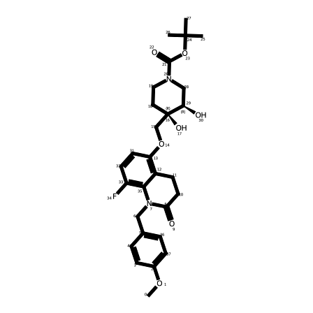 COc1ccc(CN2C(=O)CCc3c(OC[C@]4(O)CCN(C(=O)OC(C)(C)C)C[C@H]4O)ccc(F)c32)cc1